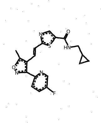 Cc1onc(-c2ccc(F)cn2)c1/C=C/c1ncc(C(=O)NCC2CC2)s1